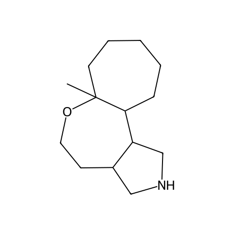 CC12CCCCCC1C1CNCC1CCO2